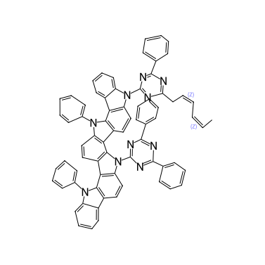 C/C=C\C=C/Cc1nc(-c2ccccc2)nc(-n2c3ccccc3c3c2ccc2c4c(ccc5c6c(ccc7c8ccccc8n(-c8ccccc8)c76)n(-c6nc(-c7ccccc7)nc(-c7ccccc7)n6)c54)n(-c4ccccc4)c23)n1